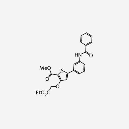 CCOC(=O)COc1cc(-c2cccc(NC(=O)c3ccccc3)c2)sc1C(=O)OC